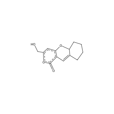 O=c1oc(CO)cc2c1C=C1CCCCC1O2